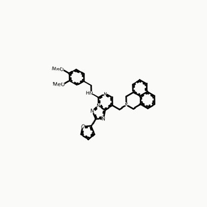 COc1ccc(CNc2ncc(CN3Cc4cccc5cccc(c45)C3)c3nc(-c4ccco4)nn23)cc1OC